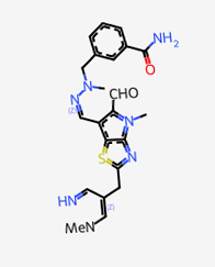 CN/C=C(\C=N)Cc1nc2c(s1)c(/C=N\N(C)Cc1cccc(C(N)=O)c1)c(C=O)n2C